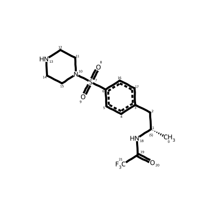 C[C@@H](Cc1ccc(S(=O)(=O)N2CCNCC2)cc1)NC(=O)C(F)(F)F